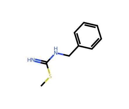 CSC(=N)NCc1ccccc1